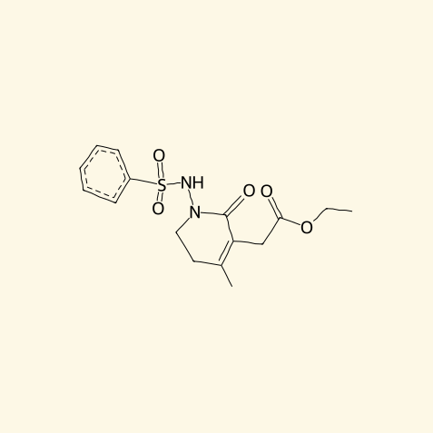 CCOC(=O)CC1=C(C)CCN(NS(=O)(=O)c2ccccc2)C1=O